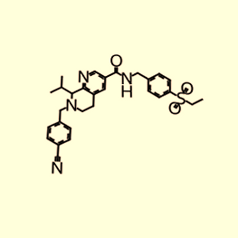 CCS(=O)(=O)c1ccc(CNC(=O)c2cnc3c(c2)CCN(Cc2ccc(C#N)cc2)C3C(C)C)cc1